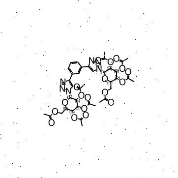 CC(=O)OC[C@H]1O[C@H](n2cc(-c3cccc(-c4cn([C@H]5O[C@H](COC(C)=O)[C@@H](OC(C)=O)[C@H](OC(C)=O)[C@@H]5OC(C)=O)nn4)c3)nn2)[C@H](OC(C)=O)[C@H](OC(C)=O)[C@@H]1OC(C)=O